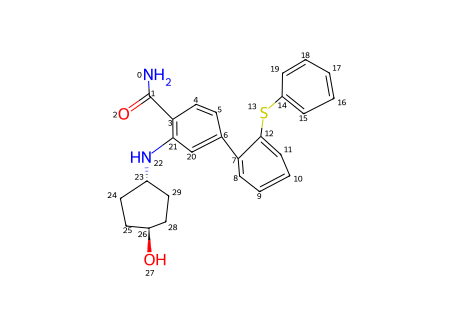 NC(=O)c1ccc(-c2ccccc2Sc2ccccc2)cc1N[C@H]1CC[C@H](O)CC1